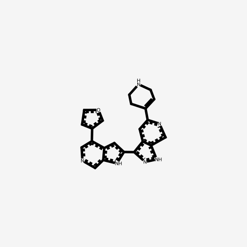 C1=C(c2cc3c(-c4cc5c(-c6ccoc6)cncc5[nH]4)n[nH]c3cn2)CCNC1